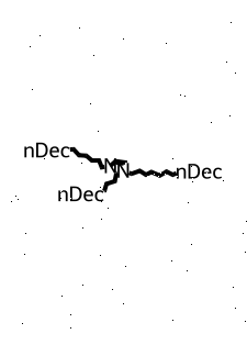 CCCCCCCCCCCCCCCCCN1C=CN(CCCCCCCCCCCCCCCC)C1CCCCCCCCCCCCC